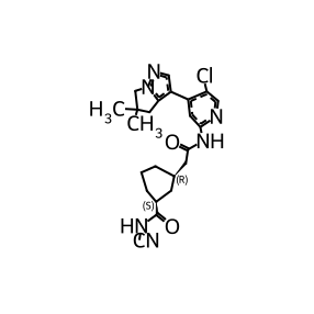 CC1(C)Cc2c(-c3cc(NC(=O)C[C@@H]4CCC[C@H](C(=O)NC#N)C4)ncc3Cl)cnn2C1